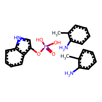 Cc1ccccc1N.Cc1ccccc1N.O=P(O)(O)Oc1c[nH]c2ccccc12